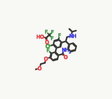 COCCOc1ccc(C(N)=O)c(-c2cc(C(CNC(C)C)c3ccccc3)c(F)cc2Cl)c1F.O=C(O)C(F)(F)F